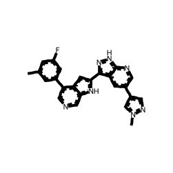 Cc1cc(F)cc(-c2cncc3[nH]c(-c4n[nH]c5ncc(-c6cnn(C)c6)cc45)cc23)c1